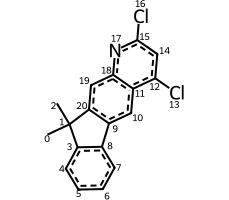 CC1(C)c2ccccc2-c2cc3c(Cl)cc(Cl)nc3cc21